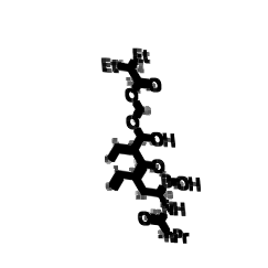 C=CC1=C(/C(=C\C)C(O)OCOC(=O)C(CC)CC)OB(O)[C@@H](NC(=O)CCC)C1